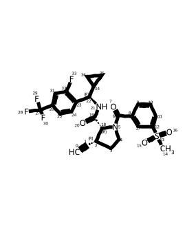 C#C[C@H]1CCN(C(=O)c2cccc(S(C)(=O)=O)c2)[C@H]1C(=O)N[C@@H](c1ccc(C(F)(F)F)cc1F)C1CC1